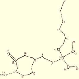 CCCCCO[Si](CCC1CCC(O)C(=O)C1)(OC)OC